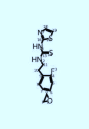 C1CO1.Fc1ccccc1CCNC(=S)Nc1nccs1